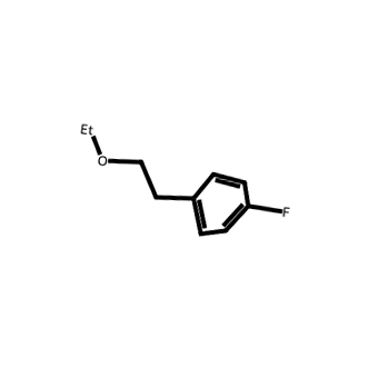 [CH2]COCCc1ccc(F)cc1